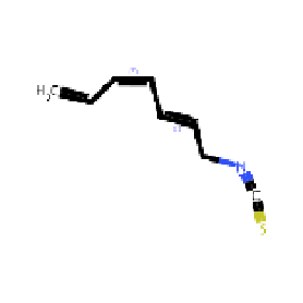 C=C/C=C\C=C\CN=C=S